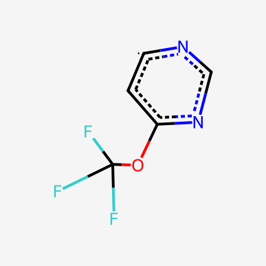 FC(F)(F)Oc1c[c]ncn1